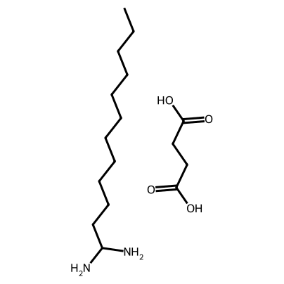 CCCCCCCCCCCC(N)N.O=C(O)CCC(=O)O